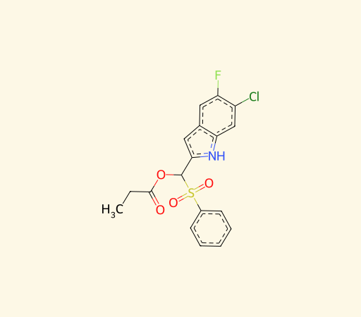 CCC(=O)OC(c1cc2cc(F)c(Cl)cc2[nH]1)S(=O)(=O)c1ccccc1